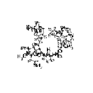 CCc1ncccc1-c1c2c3cc(ccc3n1CC)-c1cc(cc(O[Si](C(C)C)(C(C)C)C(C)C)c1)C[C@H](CC(=O)[C@H](C(C)C)N(C)C(=O)CCN)C(=O)N1CCC[C@H](N1)C(=O)OCC(C)(C)C2